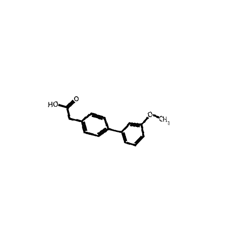 COc1cccc(-c2ccc(CC(=O)O)cc2)c1